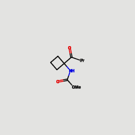 COC(=O)NC1(C(=O)C(C)C)CCC1